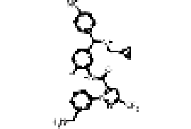 N#Cc1ccc(C(NCC2CC2)c2ccc(F)c(NC(=O)c3cc(C(F)(F)F)nn3-c3cccc(CN)c3)c2)cc1